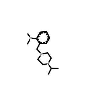 CC(C)N1CCN(Cc2ccccc2N(C)C)CC1